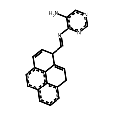 Nc1cncnc1/N=C/C1C=Cc2ccc3cccc4c3c2C1=CC4